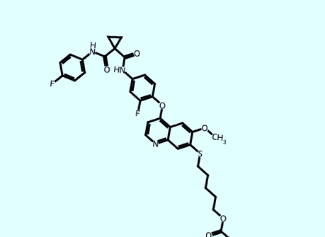 COc1cc2c(Oc3ccc(NC(=O)C4(C(=O)Nc5ccc(F)cc5)CC4)cc3F)ccnc2cc1SCCCCCOC(N)=O